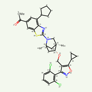 COC(=O)c1cc(C2CCCC2)c2nc(N3C[C@@H]4C[C@H]3C[C@H]4OCc3c(-c4c(Cl)cccc4Cl)noc3C3CC3)sc2c1